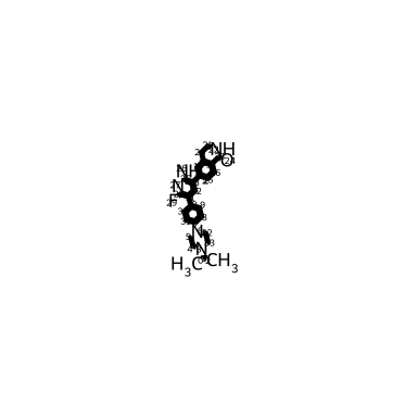 CC(C)N1CCN(c2ccc(-c3cc(-c4ccc5c(c4)CCNC5=O)c(N)nc3F)cc2)CC1